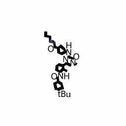 C=CC/C=C/C(=O)c1ccc(Nc2nc(-c3cccc(NC(=O)c4ccc(C(C)(C)C)cc4)c3C)cn(C)c2=O)cc1